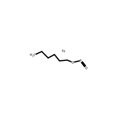 CCCCCCOP=O.[Fe]